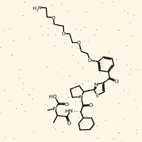 CC(C(=O)N[C@H](C(=O)N1CCCC1c1nc(C(=O)c2cccc(OCCOCCOCCOCCN)c2)cs1)C1CCCCC1)N(C)C(=O)O